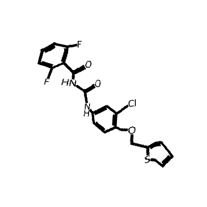 O=C(NC(=O)c1c(F)cccc1F)Nc1ccc(OCc2cccs2)c(Cl)c1